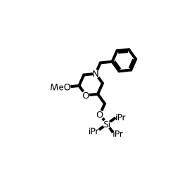 COC1CN(Cc2ccccc2)CC(CO[Si](C(C)C)(C(C)C)C(C)C)O1